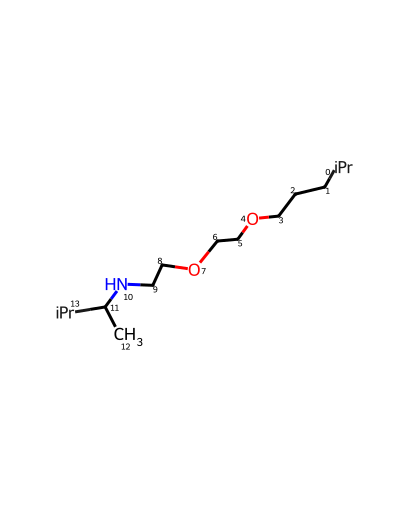 CC(C)CCCOCCOCCNC(C)C(C)C